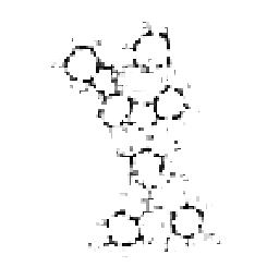 Cc1cc(C)c(B(c2nc(C)c(-n3c4ccccc4c4c3ccc3c5ccccc5n(-c5ccccc5)c34)c(C)n2)c2c(C)cc(C)cc2C)c(C)c1